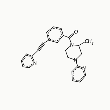 CC1CN(c2ccccn2)CCN1C(=O)c1cccc(C#Cc2ccccn2)c1